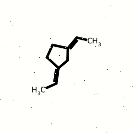 CC=C1CCC(=CC)C1